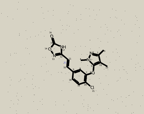 Cc1nn(C)c(Oc2cc(/C=C/c3noc(=O)[nH]3)ccc2Cl)c1C